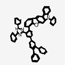 c1ccc(-c2nc(-c3ccccc3)nc(-c3cc(-c4ccc(-c5ccccc5)c(-c5ccccc5)c4)ccc3-c3cccc4c3oc3cc5c(cc34)c3ccccc3n5-c3ccccc3)n2)cc1